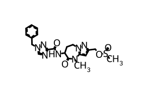 CN1C(=O)C(NC(=O)c2ncn(Cc3ccccc3)n2)CCn2nc(COS(C)=O)cc21